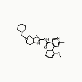 COc1ccccc1-c1cc(C)ncc1C(=O)Nc1nc2c(s1)CN(CC1CCCCC1)CC2